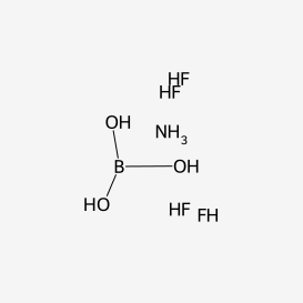 F.F.F.F.N.OB(O)O